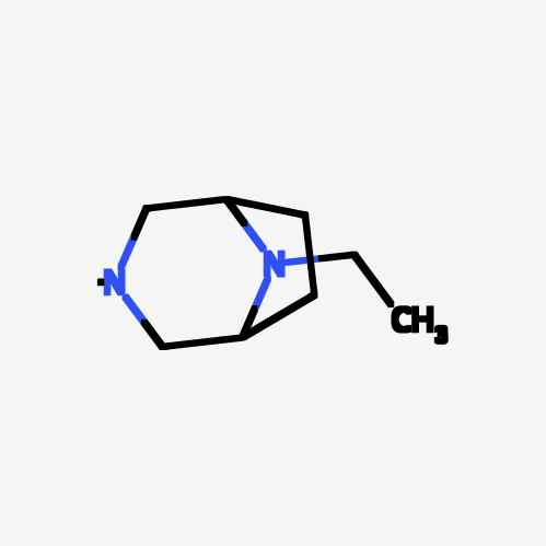 CCN1C2CCC1C[N]C2